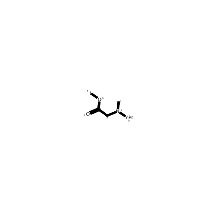 CCCN(C)CC(=O)OI